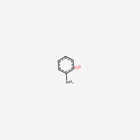 O.[AsH2]c1ccccc1